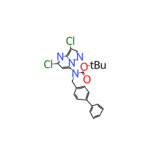 CC(C)(C)OC(=O)N(Cc1ccc(-c2ccccc2)cc1)c1cc(Cl)nc2c(Cl)cnn12